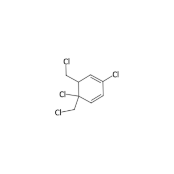 ClCC1C=C(Cl)C=CC1(Cl)CCl